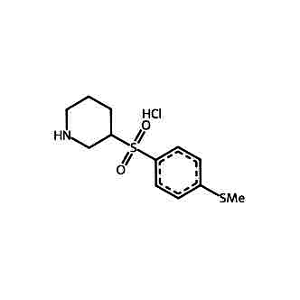 CSc1ccc(S(=O)(=O)C2CCCNC2)cc1.Cl